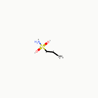 NS(=O)(=O)CC[SiH3]